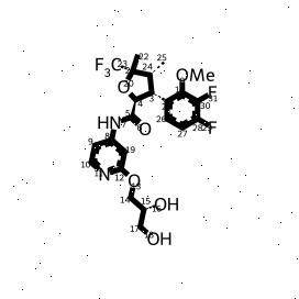 COc1c([C@@H]2[C@@H](C(=O)Nc3ccnc(OC[C@H](O)CO)c3)O[C@](C)(C(F)(F)F)[C@@H]2C)ccc(F)c1F